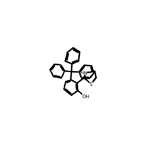 Oc1cccc(C(c2ccccc2)(c2ccccc2)c2ccccc2)c1C1NCCS1